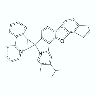 Cc1c[n+]2c(cc1C(C)C)-c1c(ccc3c1oc1c4c(ccc13)CC=C4)C21C2c3ccccc3-c3cccc[n+]3C21